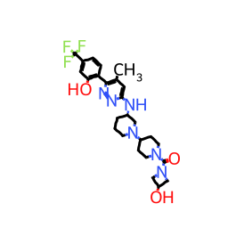 Cc1cc(N[C@@H]2CCCN(C3CCN(C(=O)N4CC(O)C4)CC3)C2)nnc1-c1ccc(C(F)(F)F)cc1O